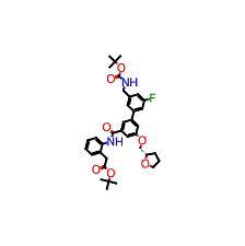 CC(C)(C)OC(=O)Cc1ccccc1NC(=O)c1cc(OC[C@@H]2CCCO2)cc(-c2cc(F)cc(CNC(=O)OC(C)(C)C)c2)c1